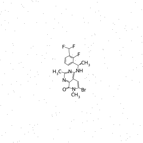 Cc1nc(N[C@H](C)c2cccc(C(F)F)c2F)c2cc(Br)n(C)c(=O)c2n1